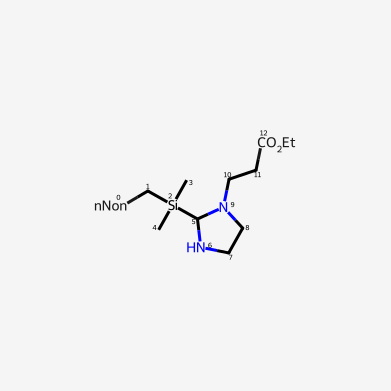 CCCCCCCCCC[Si](C)(C)C1NCCN1CCC(=O)OCC